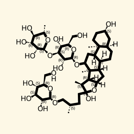 C[C@@H](CC[C@@]1(O)O[C@H]2C[C@H]3[C@@H]4CC[C@@H]5C[C@@H](O)CC[C@]5(C)[C@H]4CC(O[C@@H]4O[C@H](CO)[C@@H](O)[C@H](O[C@@H]5O[C@@H](C)[C@H](O)[C@@H](O)[C@H]5O)[C@H]4O)[C@]3(C)[C@H]2[C@@H]1C)CO[C@@H]1O[C@H](CO)[C@@H](O)[C@H](O)[C@H]1O